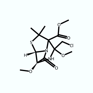 COC(=O)C12N3C(=O)[C@](OC)(NC1(CCl)OC)[C@@H]3SC2(C)C